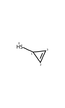 SC1C=C1